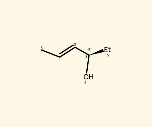 CC=C[C@H](O)CC